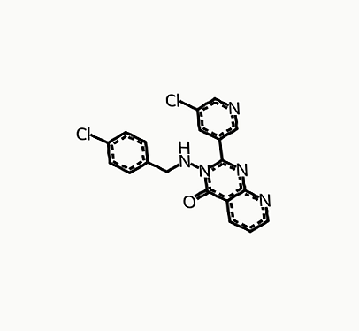 O=c1c2cccnc2nc(-c2cncc(Cl)c2)n1NCc1ccc(Cl)cc1